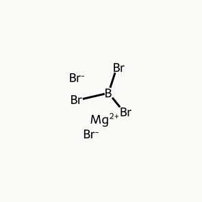 BrB(Br)Br.[Br-].[Br-].[Mg+2]